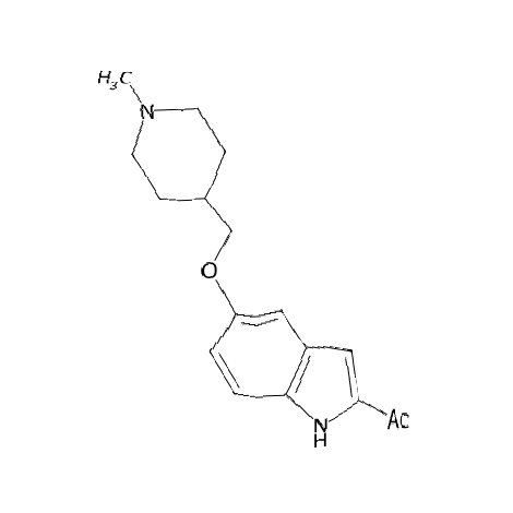 CC(=O)c1cc2cc(OCC3CCN(C)CC3)ccc2[nH]1